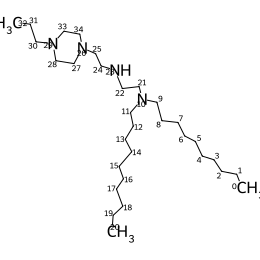 CCCCCCCCCCN(CCCCCCCCCC)CCNCCN1CCN(CCC)CC1